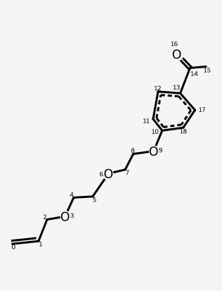 C=CCOCCOCCOc1ccc(C(C)=O)cc1